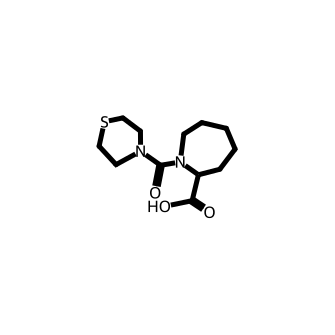 O=C(O)C1CCCCCN1C(=O)N1CCSCC1